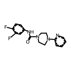 O=C(Nc1ccc(F)c(F)c1)N1CCN(c2ccccn2)CC1